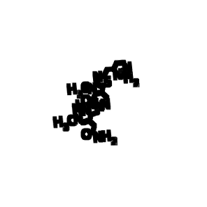 CN/C=C(/CC(N)=O)C(=N)CN(C)/N=C\c1c(C=O)n(C)c2nc(CC(=N)/C=C\N)sc12